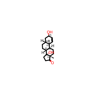 C[C@]12C=C[C@H](O)C[C@H]1CC[C@@H]1[C@@H]2CC[C@]2(C)C(=O)CC[C@@]12O